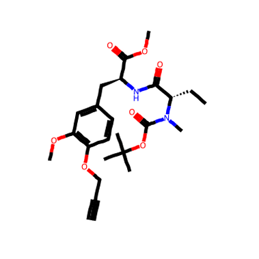 C#CCOc1ccc(C[C@H](NC(=O)[C@H](CC)N(C)C(=O)OC(C)(C)C)C(=O)OC)cc1OC